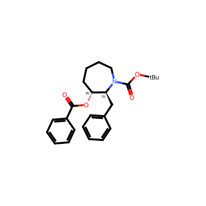 CC(C)(C)OC(=O)N1CCCC[C@@H](OC(=O)c2ccccc2)[C@@H]1Cc1ccccc1